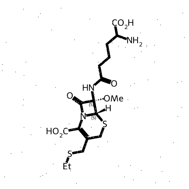 CCSCC1=C(C(=O)O)N2C(=O)[C@](NC(=O)CCCC(N)C(=O)O)(OC)[C@@H]2SC1